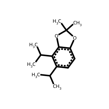 CC(C)c1ccc2c(c1C(C)C)OC(C)(C)O2